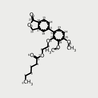 CCCCCC(=O)OCCOc1c(-c2ccc3c(c2)COC3=O)ccc(OC)c1OC